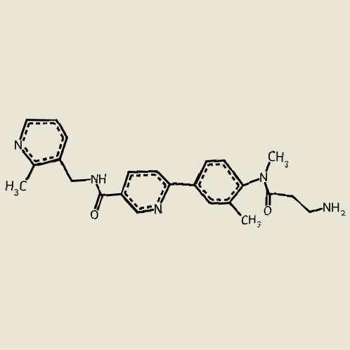 Cc1cc(-c2ccc(C(=O)NCc3cccnc3C)cn2)ccc1N(C)C(=O)CCN